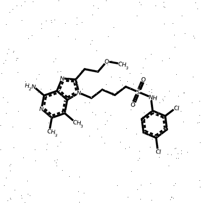 COCCc1nc2c(N)nc(C)c(C)c2n1CCCCS(=O)(=O)Nc1ccc(Cl)cc1Cl